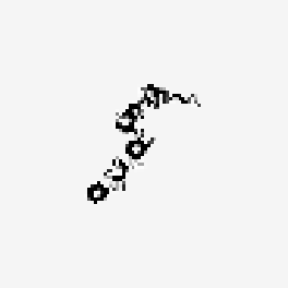 COCCNCc1cnc(-c2cc3nccc(Oc4ccc(NC(=O)CC(=O)Nc5ccccc5)cc4F)c3s2)n1C